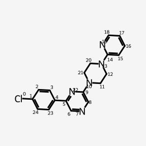 Clc1ccc(-c2cncc(N3CCN(c4ccccn4)CC3)n2)cc1